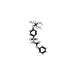 CC(C)(C)Oc1ccc(S(=O)(=O)NC(=O)Oc2ccccc2)cc1